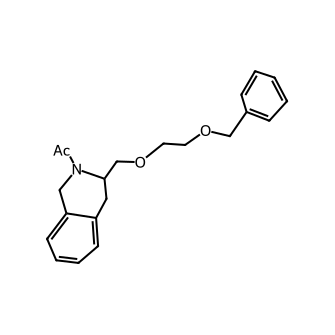 CC(=O)N1Cc2ccccc2CC1COCCOCc1ccccc1